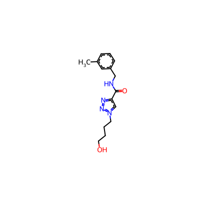 Cc1cccc(CNC(=O)c2cn(CCCCO)nn2)c1